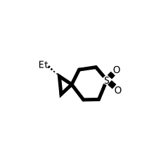 CC[C@H]1CC12CCS(=O)(=O)CC2